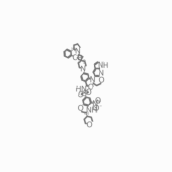 Cc1ccccc1[C@@H]1CCCN1C1CC2(CCN(c3ccc(C(=O)NS(=O)(=O)c4cc5c(c([N+](=O)[O-])c4)N[C@@H](C4CCOCC4)CO5)c(N4CCCOc5nc6[nH]ccc6cc54)c3)CC2)C1